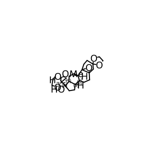 COCC1([C@@]2(O)CC[C@H]3[C@@H]4CCC56CC7(CCC5(O6)C4=CC[C@@]32C)OCCO7)OCCO1